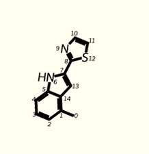 Cc1cccc2[nH]c(-c3nccs3)cc12